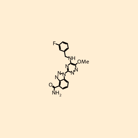 COc1nnc(-n2nnc3c(C(N)=O)cccc32)nc1NCc1cccc(F)c1